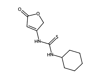 O=C1C=C(NC(=S)NC2CCCCC2)CO1